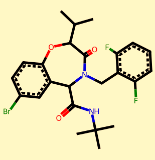 CC(C)C1Oc2ccc(Br)cc2C(C(=O)NC(C)(C)C)N(Cc2c(F)cccc2F)C1=O